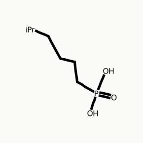 CC(C)CCCCP(=O)(O)O